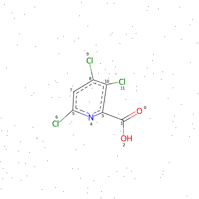 O=C(O)c1nc(Cl)cc(Cl)c1Cl